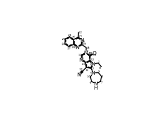 CCn1c(N2CCCNCC2)c(C#N)c2ncn(Cc3nc(C)c4ccccc4n3)c(=O)c21